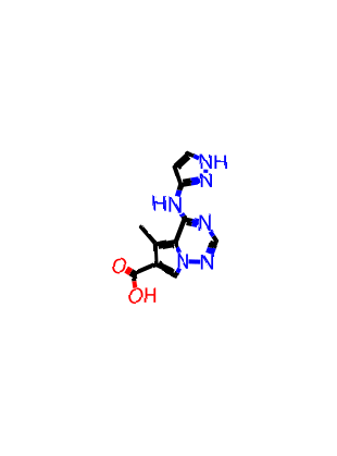 Cc1c(C(=O)O)cn2ncnc(Nc3cc[nH]n3)c12